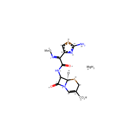 CON=C(C(=O)NC1C(=O)N2C=C(C(=O)O)CS[C@H]12)c1csc(N)n1.[MgH2]